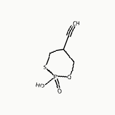 C#CC1COP(=O)(O)SC1